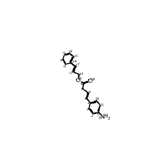 Nc1ccc(/C=C/CC(=O)OC/C=C/c2ccccc2)cc1